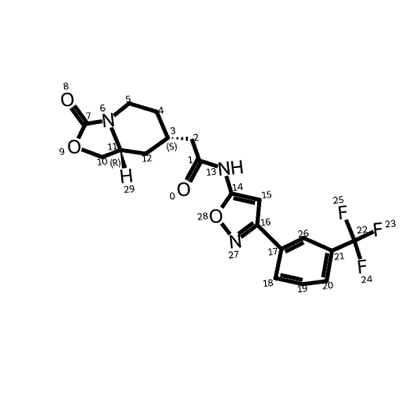 O=C(C[C@H]1CCN2C(=O)OC[C@H]2C1)Nc1cc(-c2cccc(C(F)(F)F)c2)no1